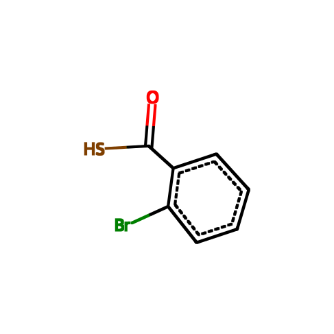 O=C(S)c1ccccc1Br